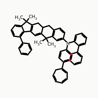 CC1(C)C2=CC3=C(CC2Cc2ccc(N(c4ccc(C5=CC=CC=CC5)cc4)c4ccccc4-c4ccccc4)cc21)C(C)(C)c1cccc(-c2ccccc2)c13